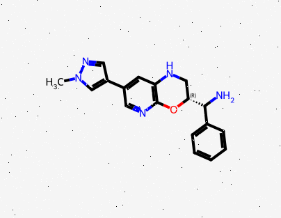 Cn1cc(-c2cnc3c(c2)NC[C@H](C(N)c2ccccc2)O3)cn1